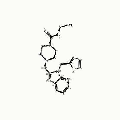 CCOC(=O)N1CCC(Nc2nc3cccnc3n2Cc2ccco2)CC1